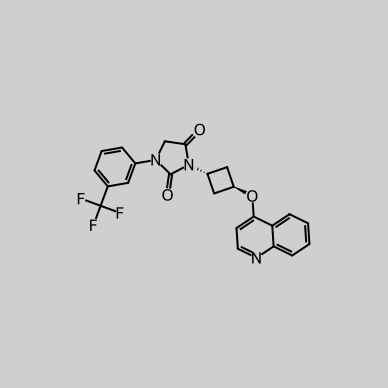 O=C1CN(c2cccc(C(F)(F)F)c2)C(=O)N1[C@H]1C[C@H](Oc2ccnc3ccccc23)C1